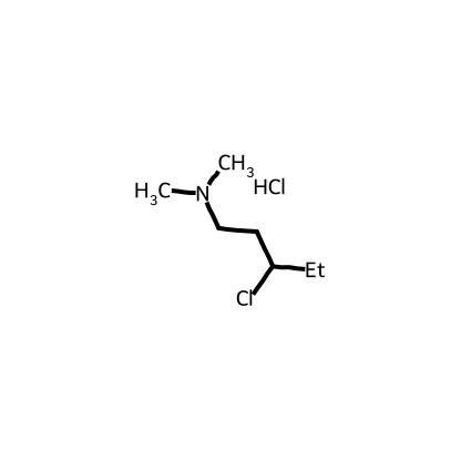 CCC(Cl)CCN(C)C.Cl